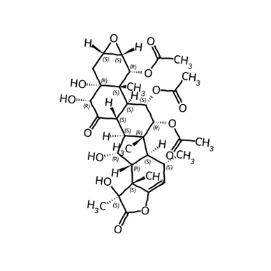 CC(=O)O[C@H]1[C@H]2[C@@H](C(=O)[C@H](O)[C@@]3(O)C[C@@H]4O[C@@H]4[C@H](OC(C)=O)[C@]23C)[C@@H]2[C@@H](O)[C@@H]3[C@H]([C@H](C)C=C4OC(=O)[C@@](C)(O)[C@@]43C)[C@@]2(C)[C@H]1OC(C)=O